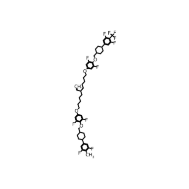 C=CC(CCCCCOc1cc(F)c(OCC2CCC(c3cc(F)c(C)c(F)c3)CC2)c(F)c1)CCCCCOc1cc(F)c(OCC2CCC(c3cc(F)c(C(F)(F)F)c(F)c3)CC2)c(F)c1